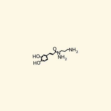 NCCCN(N)C(=O)/C=C/c1ccc(O)c(O)c1